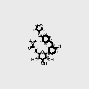 CN(C)C(=O)OC[C@H]1O[C@@H](c2ccc(Cl)c(Cc3ccc(OC4CCOC4)cc3)c2)[C@H](O)[C@@H](O)[C@@H]1O